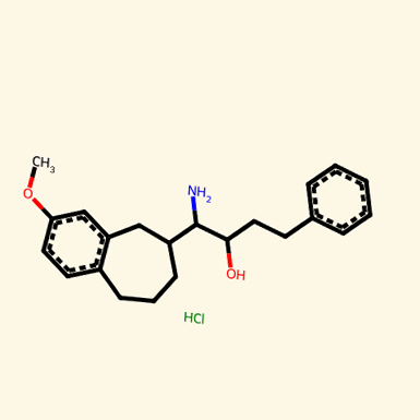 COc1ccc2c(c1)CC(C(N)C(O)CCc1ccccc1)CCC2.Cl